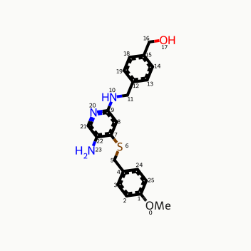 COc1ccc(CSc2cc(NCc3ccc(CO)cc3)ncc2N)cc1